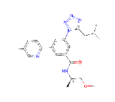 COC[C@@H](C)NC(=O)c1cc(-c2ccc(C)cn2)cc(-n2nnnc2CC(C)C)c1